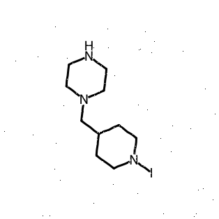 IN1CCC(CN2CCNCC2)CC1